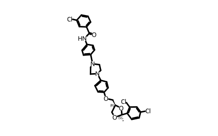 C[C@]1(c2ccc(Cl)cc2Cl)OC[C@@H](COc2ccc(N3CCN(c4ccc(NC(=O)c5cccc(Cl)c5)cc4)CC3)cc2)O1